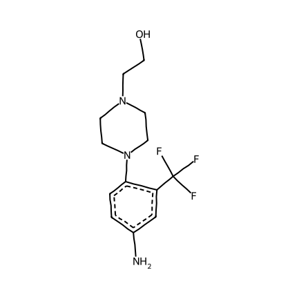 Nc1ccc(N2CCN(CCO)CC2)c(C(F)(F)F)c1